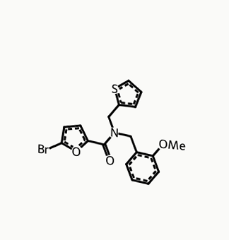 COc1ccccc1CN(Cc1cccs1)C(=O)c1ccc(Br)o1